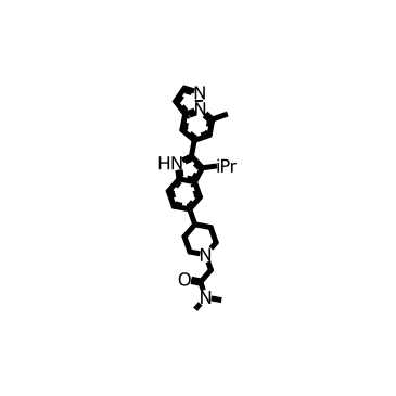 Cc1cc(-c2[nH]c3ccc(C4CCN(CC(=O)N(C)C)CC4)cc3c2C(C)C)cc2ccnn12